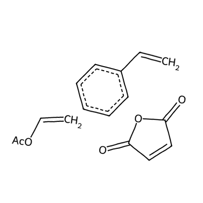 C=COC(C)=O.C=Cc1ccccc1.O=C1C=CC(=O)O1